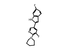 Fc1ccc2cc(-c3cnc(N4CCCCC4)c(F)c3)[nH]c2c1